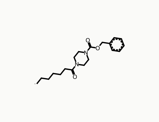 [CH2]CCCCCC(=O)N1CCN(C(=O)OCc2ccccc2)CC1